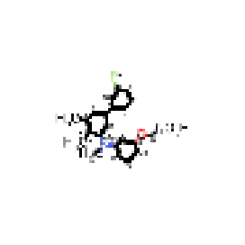 Cc1cc(-c2cccc(F)c2)cc(N(C)c2cccc(OCC(=O)O)c2)c1C